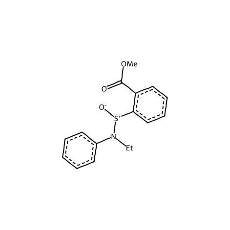 CCN(c1ccccc1)[S+]([O-])c1ccccc1C(=O)OC